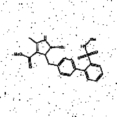 CCCCN1NC(C)=C(C(=O)OC)C1Cc1ccc(-c2ccccc2S(=O)(=O)NC(C)(C)C)cc1